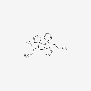 CCCC[C]1([In-2]([C]2(CCCC)C=CC=C2)[C]2(CCCC)C=CC=C2)C=CC=C1